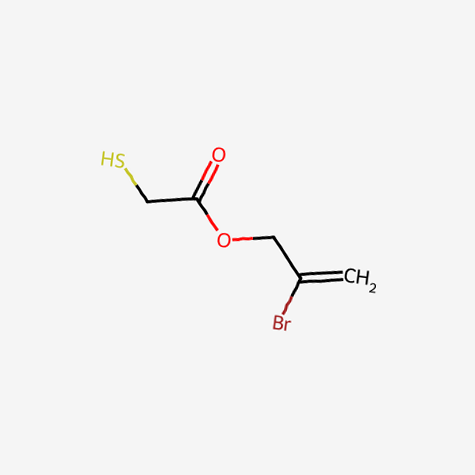 C=C(Br)COC(=O)CS